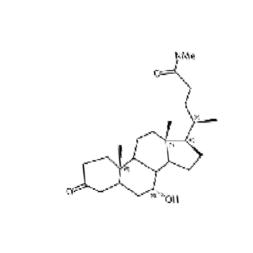 CNC(=O)CC[C@@H](C)[C@H]1CCC2C3C(CC[C@@]21C)[C@@]1(C)CCC(=O)CC1C[C@H]3O